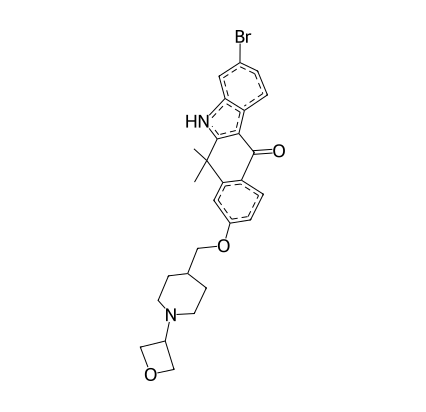 CC1(C)c2cc(OCC3CCN(C4COC4)CC3)ccc2C(=O)c2c1[nH]c1cc(Br)ccc21